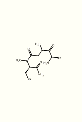 CC[C@@H](N)C(=O)N(C)CC(=O)N(C)[C@H](CC(C)C)C(N)=O